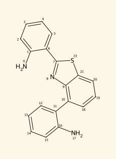 Nc1ccccc1-c1nc2c(-c3ccccc3N)cccc2s1